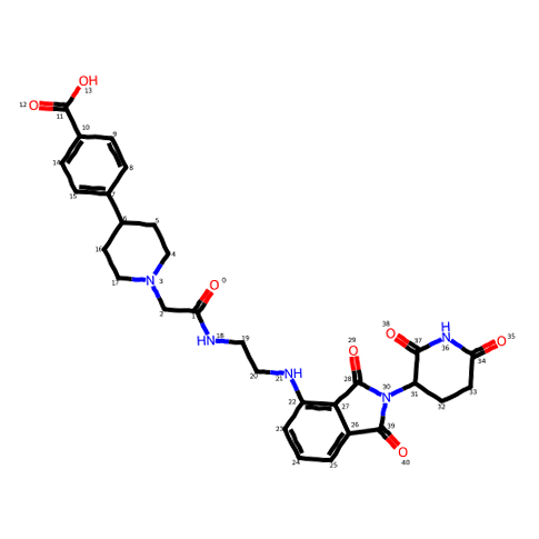 O=C(CN1CCC(c2ccc(C(=O)O)cc2)CC1)NCCNc1cccc2c1C(=O)N(C1CCC(=O)NC1=O)C2=O